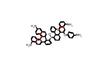 Nc1ccc(Oc2ccccc2-c2cccc([S+]([O-])c3cccc(-c4ccccc4Oc4ccc(N)cc4)c3-c3ccccc3Oc3cccc(N)c3)c2-c2ccccc2Oc2cccc(N)c2)cc1